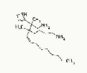 CCCCCCC/C=C\C(C)(CCCCN)C(C)(CN)C1=CCN1